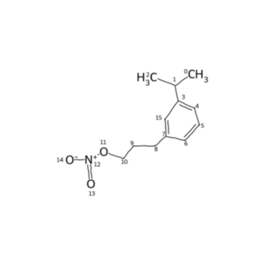 CC(C)c1cccc(CCCO[N+](=O)[O-])c1